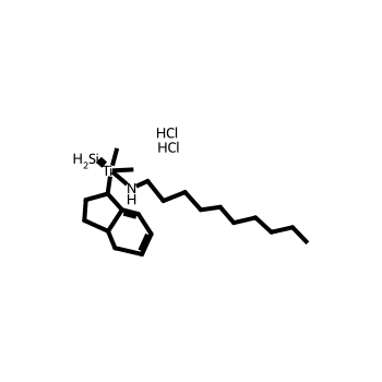 CCCCCCCCCC[NH][Ti]([CH3])([CH3])(=[SiH2])[CH]1CCC2CC=CC=C21.Cl.Cl